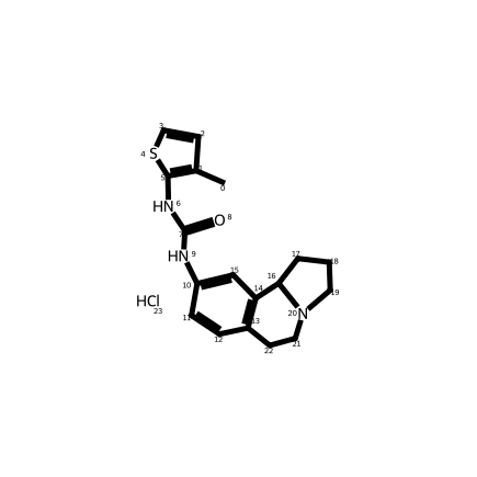 Cc1ccsc1NC(=O)Nc1ccc2c(c1)C1CCCN1CC2.Cl